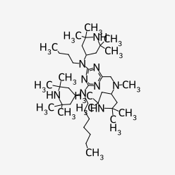 CCCCCCCN(c1nc(CN(C)C2CC(C)(C)NC(C)(C)C2)nc(N(CCCC)C2CC(C)(C)NC(C)(C)C2)n1)C1CC(C)(C)NC(C)(C)C1